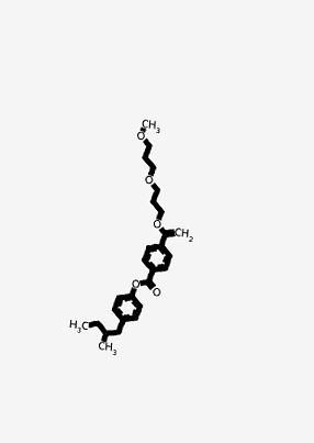 C=C(OCCCOCCCOC)c1ccc(C(=O)Oc2ccc(CC(C)CC)cc2)cc1